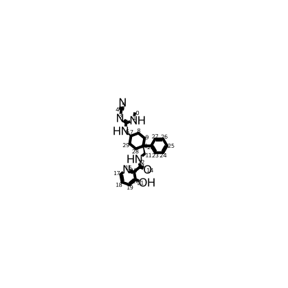 CN/C(=N\C#N)N[C@H]1CC[C@](CNC(=O)c2ncccc2O)(c2ccccc2)CC1